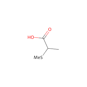 [CH2]SC(C)C(=O)O